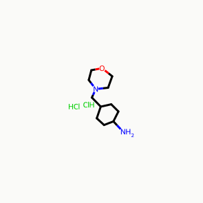 Cl.Cl.NC1CCC(CN2CCOCC2)CC1